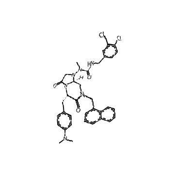 CN(C)c1ccc(C[C@H]2C(=O)N(Cc3cccc4ccccc34)C[C@H]3N2C(=O)CN3N(C)C(=O)NCc2ccc(Cl)c(Cl)c2)cc1